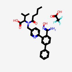 CCCCC(=O)N(Cc1ccc(-c2cc(-c3ccccc3)ccc2C(N)=NO)nc1)C(C(=O)O)C(C)C.O=C(O)C(F)(F)F